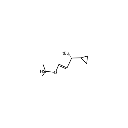 C[SiH](C)OC=C[C@@H](C1CC1)C(C)(C)C